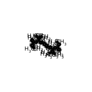 CC(C)(C)c1cccc(-n2c3ccccc3c3cc(N(c4cc(C(C)(C)C)cc(C(C)(C)C)c4)c4ccc5c(c4)oc4cc6cc7c(cc6cc45)oc4cc(N(c5cc(C(C)(C)C)cc(C(C)(C)C)c5)c5ccc6c(c5)c5ccccc5n6-c5cccc(C(C)(C)C)c5)ccc47)ccc32)c1